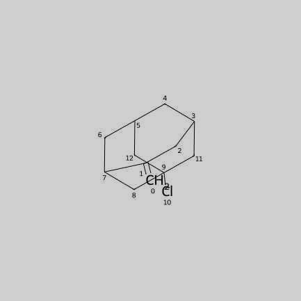 C=C1CC2CC3CC1CC(Cl)(C2)C3